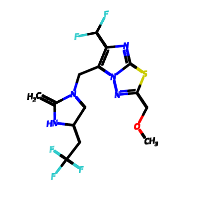 C=C1NC(CC(F)(F)F)CN1Cc1c(C(F)F)nc2sc(COC)nn12